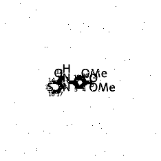 COC(=O)c1ccc(-c2nc3c(c(=O)[nH]2)CSCC3)cc1OC